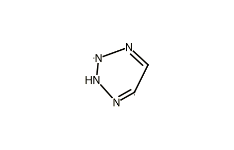 [C]1=NN[N]N=C1